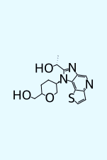 C[C@@H](O)c1nc2cnc3ccsc3c2n1[C@@H]1CCC(CO)OC1